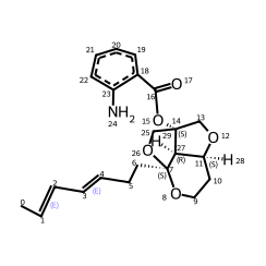 C/C=C/C=C/CC[C@]12OCC[C@@H]3OC[C@](OC(=O)c4ccccc4N)(CO1)[C@@H]32